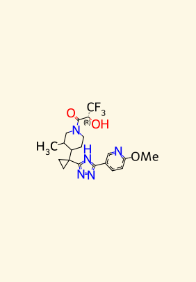 COc1ccc(-c2nnc(C3(C4CCN(C(=O)[C@@H](O)C(F)(F)F)CC4C)CC3)[nH]2)cn1